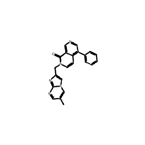 Cc1cnc2nc(Cn3ccc4c(-c5ccccc5)cncc4c3=O)cn2c1